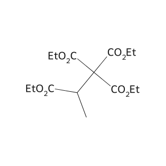 CCOC(=O)C(C)C(C(=O)OCC)(C(=O)OCC)C(=O)OCC